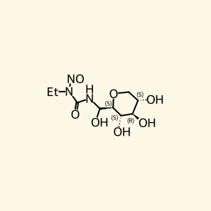 CCN(N=O)C(=O)NC(O)[C@H]1OC[C@H](O)[C@@H](O)[C@@H]1O